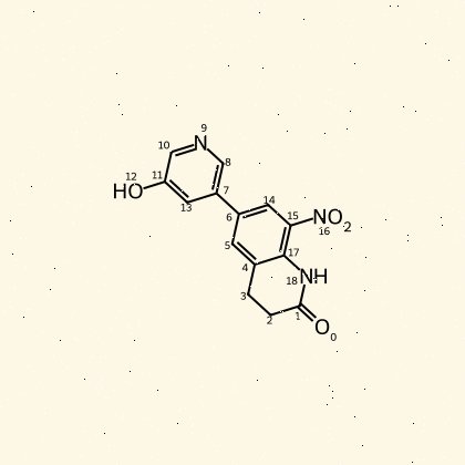 O=C1CCc2cc(-c3cncc(O)c3)cc([N+](=O)[O-])c2N1